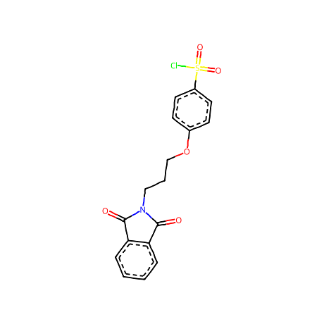 O=C1c2ccccc2C(=O)N1CCCOc1ccc(S(=O)(=O)Cl)cc1